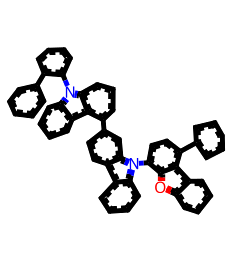 c1ccc(-c2ccccc2-n2c3ccccc3c3c(-c4ccc5c6ccccc6n(-c6ccc(-c7ccccc7)c7c6oc6ccccc67)c5c4)cccc32)cc1